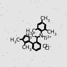 CC1=CCC(c2ccccc2C(C)[N]([Ti+2])c2c(C)cc(C)cc2C)=C1C.[Cl-].[Cl-]